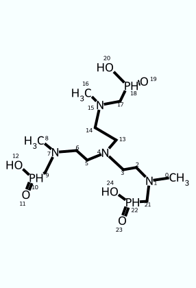 CN(CCN(CCN(C)C[PH](=O)O)CCN(C)C[PH](=O)O)C[PH](=O)O